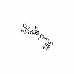 COC(=O)N[C@@H]1CCN(c2ccc(-c3cc4nc(C(=O)N5CCc6ccccc6[C@H]5C)cc(C5CC5)n4n3)c(F)c2)C1